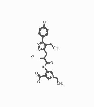 CCc1c(-c2ccc(O)cc2)noc1CC(F)C(=O)Nc1cn(CC)cc1C(=O)[O-].[K+]